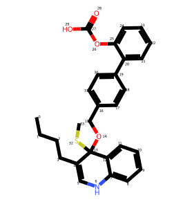 CCCCC1=CNc2ccccc2C1(OCc1ccc(-c2ccccc2OC(=O)O)cc1)SC